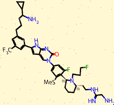 CSc1cc(-n2cc3cc(-c4cc(CCCC(N)C5CC5)cc(C(F)(F)F)c4)[nH]c3nc2=O)cc(F)c1[C@@H]1CCC[C@@H](CCNC(=N)CN)N1CCCF